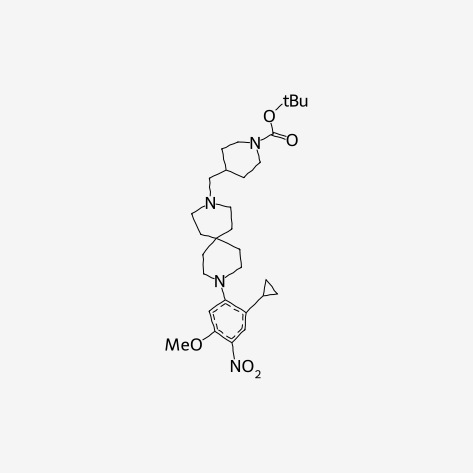 COc1cc(N2CCC3(CCN(CC4CCN(C(=O)OC(C)(C)C)CC4)CC3)CC2)c(C2CC2)cc1[N+](=O)[O-]